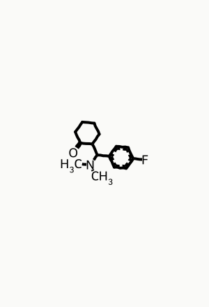 CN(C)C(c1ccc(F)cc1)C1CCCCC1=O